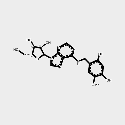 COc1cc(CNc2ncnc3c2ncn3C2O[C@H](CO)[C@@H](O)[C@H]2O)c(O)cc1O